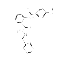 COc1ccc(C(=O)Nc2ccccc2C(=O)NN=Cc2cccnc2)cc1